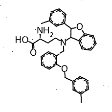 Cc1cccc(COc2ccccc2CN(CC[C@H](N)C(=O)O)C2c3ccccc3OC2c2cccc(C)c2)c1